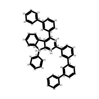 c1ccc(-c2cccc(-c3cccc(-c4nc(-c5cccc(-c6ccccc6)c5)c5c6ccccc6n(-c6ccccc6)c5n4)c3)c2)cc1